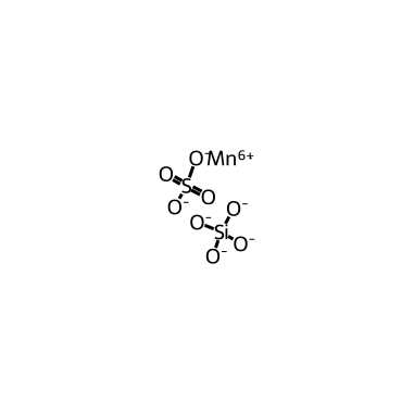 O=S(=O)([O-])[O-].[Mn+6].[O-][Si]([O-])([O-])[O-]